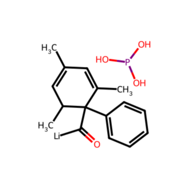 OP(O)O.[Li][C](=O)C1(c2ccccc2)C(C)=CC(C)=CC1C